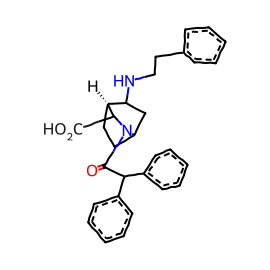 O=C(O)C1[C@H]2CCC(CC2NCCc2ccccc2)N1C(=O)C(c1ccccc1)c1ccccc1